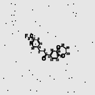 O=C(CCc1ccc(C(F)(F)F)nc1)c1ccc2c(c1)OCCCO2